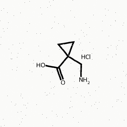 Cl.NCC1(C(=O)O)CC1